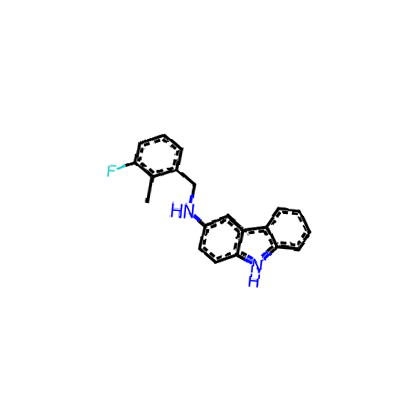 Cc1c(F)cccc1CNc1ccc2[nH]c3ccccc3c2c1